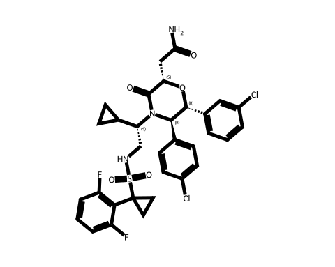 NC(=O)C[C@@H]1O[C@H](c2cccc(Cl)c2)[C@@H](c2ccc(Cl)cc2)N([C@H](CNS(=O)(=O)C2(c3c(F)cccc3F)CC2)C2CC2)C1=O